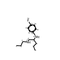 CCCNCC(CCC)Nc1ccc(F)cc1